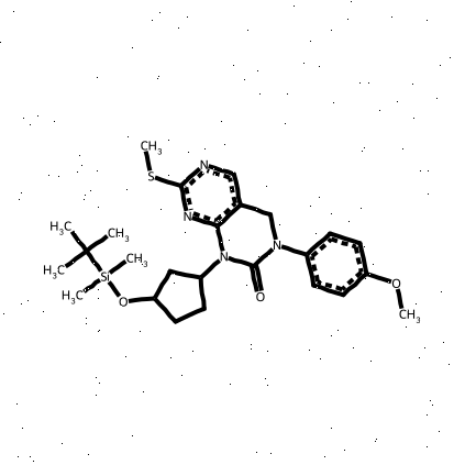 COc1ccc(N2Cc3cnc(SC)nc3N(C3CCC(O[Si](C)(C)C(C)(C)C)C3)C2=O)cc1